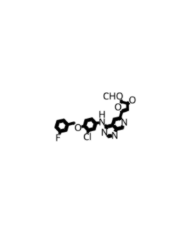 O=CC1OC(c2cc3c(Nc4ccc(OCc5cccc(F)c5)c(Cl)c4)ncnc3cn2)=CC1=O